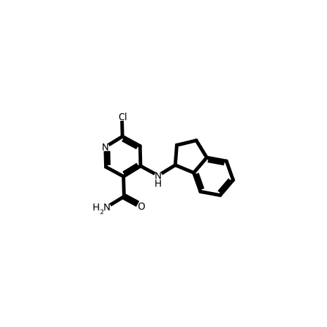 NC(=O)c1cnc(Cl)cc1NC1CCc2ccccc21